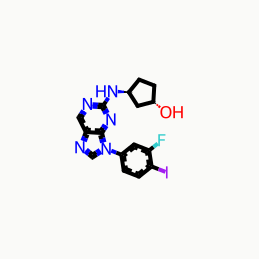 O[C@H]1CC[C@H](Nc2ncc3ncn(-c4ccc(I)c(F)c4)c3n2)C1